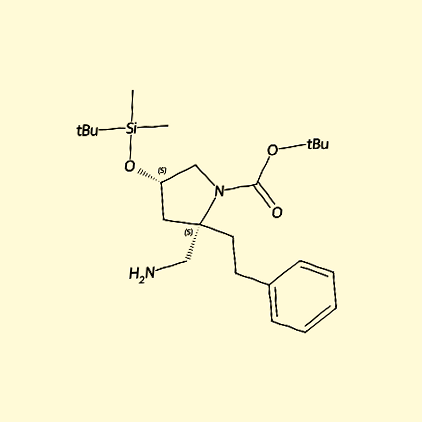 CC(C)(C)OC(=O)N1C[C@@H](O[Si](C)(C)C(C)(C)C)C[C@]1(CN)CCc1ccccc1